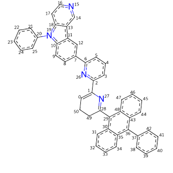 C1=C(c2cccc(-c3ccc4c(c3)c3cnccc3n4-c3ccccc3)n2)N=C(c2c3ccccc3c(-c3ccccc3)c3ccccc23)CC1